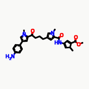 COC(=O)C1=CC(NC(=O)c2cc(CCCC(=O)c3cc(-c4ccc(N)cc4)cn3C)cn2C)=CC1C